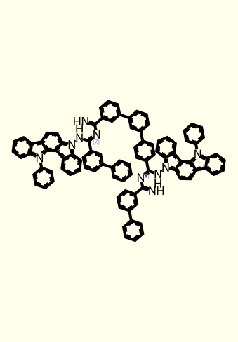 N=C(/N=C(\Nn1c2ccccc2c2c1ccc1c3ccccc3n(-c3ccccc3)c12)c1ccc(-c2cccc(-c3cccc(C(=N)/N=C(\Nn4c5ccccc5c5c4ccc4c6ccccc6n(-c6ccccc6)c45)c4cccc(-c5ccccc5)c4)c3)c2)cc1)c1cccc(-c2ccccc2)c1